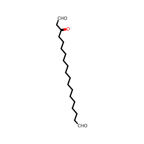 O=CCCCCCCCCCCCCCCCC(=O)CC=O